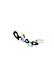 Clc1ccc(Cl)c(-c2ccc(CN3CCSC(c4ccccc4)C3)cc2)c1